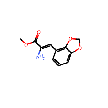 COC(=O)/C(N)=C/c1cccc2c1OCO2